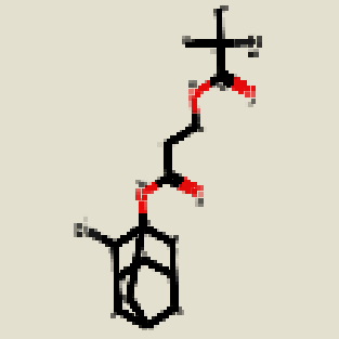 CCC1C2CC3CC(C2)CC1(OC(=O)CCOC(=O)C(C)(C)CC)C3